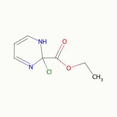 CCOC(=O)C1(Cl)N=CC=CN1